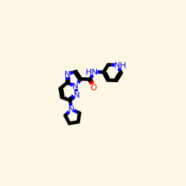 O=C(NC1=CC=CNC1)c1cnc2ccc(N3CCCC3)nn12